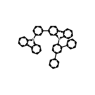 c1ccc(-c2ccc(-n3c4ccccc4c4ccc(-c5cccc(-n6c7ccccc7c7ccccc76)c5)cc43)c(-c3ccccc3)c2)cc1